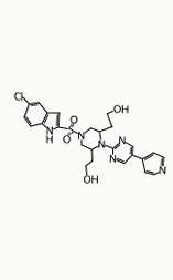 O=S(=O)(c1cc2cc(Cl)ccc2[nH]1)N1CC(CCO)N(c2ncc(-c3ccncc3)cn2)C(CCO)C1